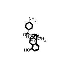 CC1(C)[C@H]2Cc3c(O)cccc3[C@]1(C)CCN2C(=O)[C@H]1CC[C@@H](N)CC1